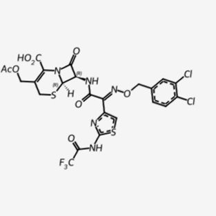 CC(=O)OCC1=C(C(=O)O)N2C(=O)[C@@H](NC(=O)C(=NOCc3ccc(Cl)c(Cl)c3)c3csc(NC(=O)C(F)(F)F)n3)[C@H]2SC1